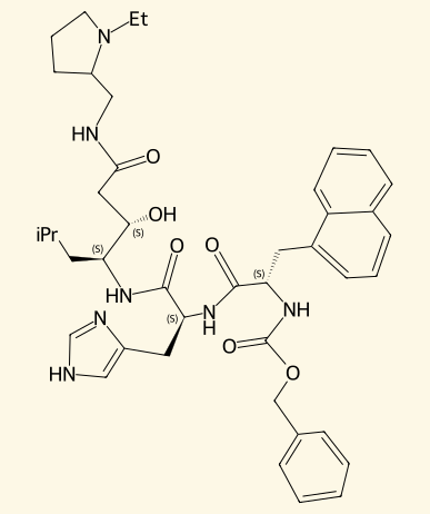 CCN1CCCC1CNC(=O)C[C@H](O)[C@H](CC(C)C)NC(=O)[C@H](Cc1c[nH]cn1)NC(=O)[C@H](Cc1cccc2ccccc12)NC(=O)OCc1ccccc1